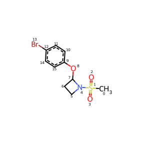 CS(=O)(=O)N1CCC1Oc1ccc(Br)cc1